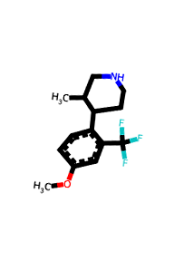 COc1ccc(C2CCNCC2C)c(C(F)(F)F)c1